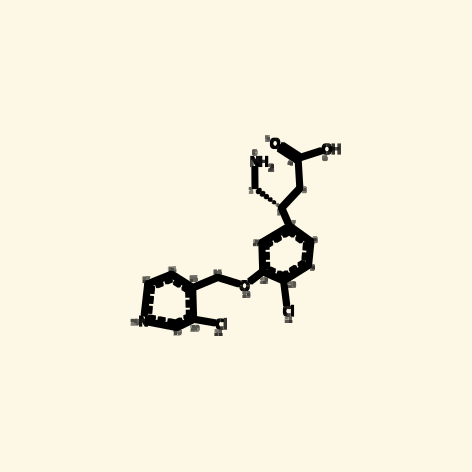 NC[C@H](CC(=O)O)c1ccc(Cl)c(OCc2ccncc2Cl)c1